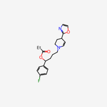 CCC(=O)OC(CCCN1C=CC(c2ncco2)CC1)c1ccc(F)cc1